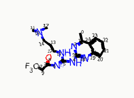 Cc1nc(N/C(=N/C(=O)CC(F)(F)F)NCCCN(C)C)nc2ccccc12